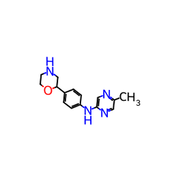 Cc1cnc(Nc2ccc(C3CNCCO3)cc2)cn1